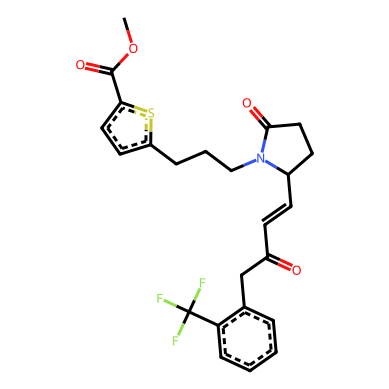 COC(=O)c1ccc(CCCN2C(=O)CCC2/C=C/C(=O)Cc2ccccc2C(F)(F)F)s1